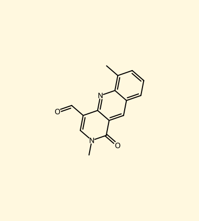 Cc1cccc2cc3c(=O)n(C)cc(C=O)c3nc12